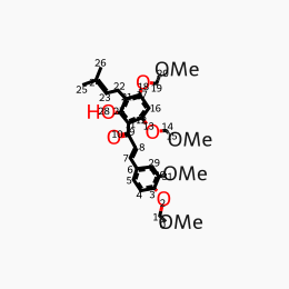 COCOc1ccc(C=CC(=O)c2c(OCOC)cc(OCOC)c(CC=C(C)C)c2O)cc1OC